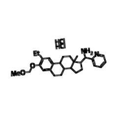 CCc1cc2c(cc1OCOC)CCC1C2CCC2(C)C(C(N)c3ccccn3)CCC12.Cl.Cl